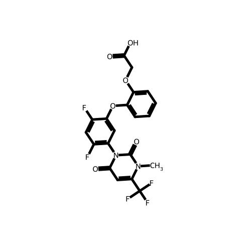 Cn1c(C(F)(F)F)cc(=O)n(-c2cc(Oc3ccccc3OCC(=O)O)c(F)cc2F)c1=O